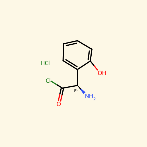 Cl.N[C@@H](C(=O)Cl)c1ccccc1O